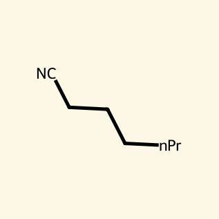 CCCCCCC#N